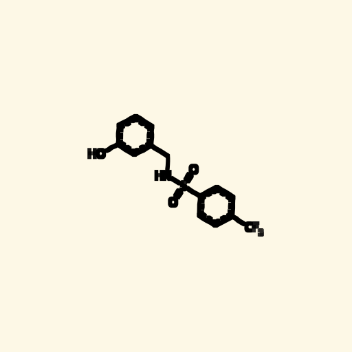 O=S(=O)(NCc1cccc(O)c1)c1ccc(C(F)(F)F)cc1